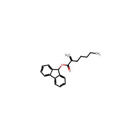 C=C(CCCCC)C(=O)OC1c2ccccc2-c2ccccc21